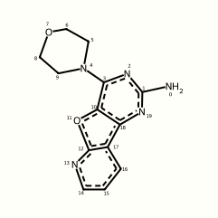 Nc1nc(N2CCOCC2)c2oc3ncccc3c2n1